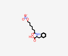 O=C(CCCCCCO[N+](=O)[O-])NC(Cc1ccccc1)C(=O)O